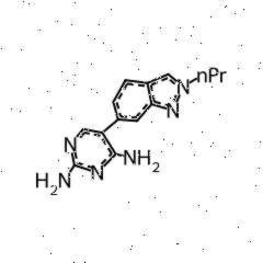 CCCn1cc2ccc(-c3cnc(N)nc3N)cc2n1